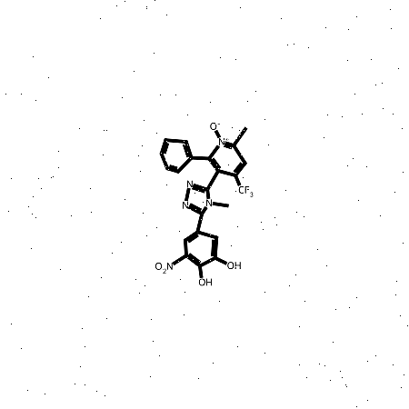 Cc1cc(C(F)(F)F)c(-c2nnc(-c3cc(O)c(O)c([N+](=O)[O-])c3)n2C)c(-c2ccccc2)[n+]1[O-]